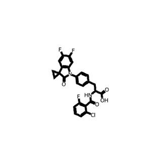 O=C(NC(Cc1ccc(N2C(=O)C3(CC3)c3cc(F)c(F)cc32)cc1)C(=O)O)c1c(F)cccc1Cl